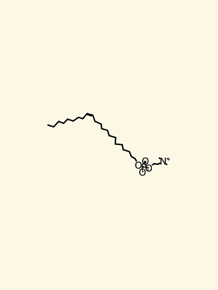 CCCCCCCC/C=C\CCCCCCCCCCCCOP(=O)([O-])OCC[N+](C)(C)C